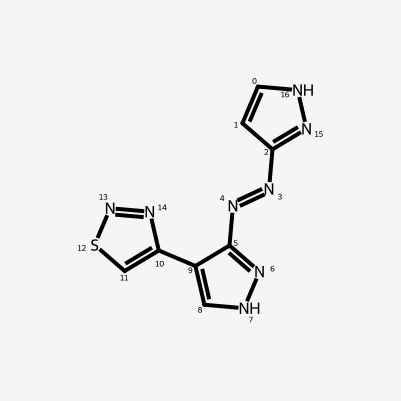 c1cc(N=Nc2n[nH]cc2-c2csnn2)n[nH]1